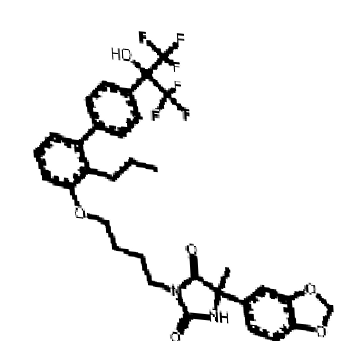 CCCc1c(OCCCCN2C(=O)NC(C)(c3ccc4c(c3)OCO4)C2=O)cccc1-c1ccc(C(O)(C(F)(F)F)C(F)(F)F)cc1